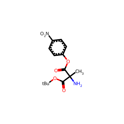 CC(C)(C)OC(=O)C(C)(N)C(=O)Oc1ccc([N+](=O)[O-])cc1